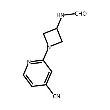 N#Cc1ccnc(N2CC(NC=O)C2)c1